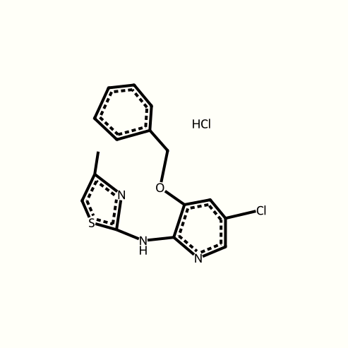 Cc1csc(Nc2ncc(Cl)cc2OCc2ccccc2)n1.Cl